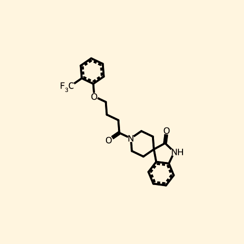 O=C(CCCOc1ccccc1C(F)(F)F)N1CCC2(CC1)C(=O)Nc1ccccc12